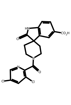 O=C(O)c1ccc2c(c1)C1(CCN(C(=O)c3ncc(Cl)cc3Cl)CC1)C(=O)N2